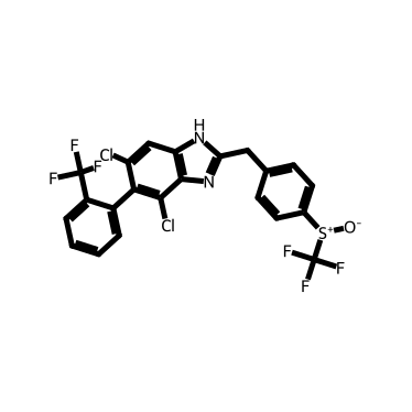 [O-][S+](c1ccc(Cc2nc3c(Cl)c(-c4ccccc4C(F)(F)F)c(Cl)cc3[nH]2)cc1)C(F)(F)F